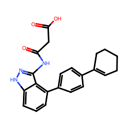 O=C(O)CC(=O)Nc1n[nH]c2cccc(-c3ccc(C4=CCCCC4)cc3)c12